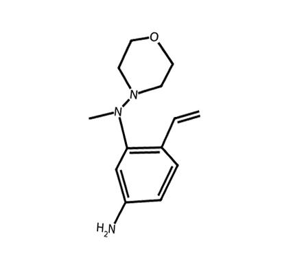 C=Cc1ccc(N)cc1N(C)N1CCOCC1